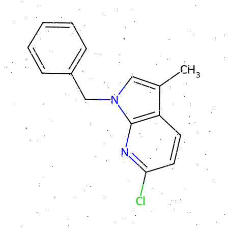 Cc1cn(Cc2ccccc2)c2nc(Cl)ccc12